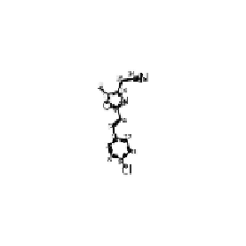 Cc1oc(/C=C/c2ccc(Cl)cc2)nc1CC#N